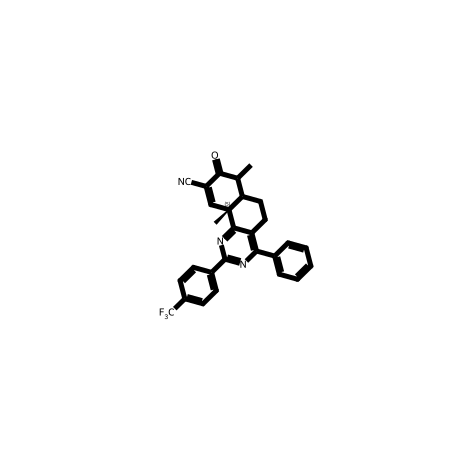 CC1C(=O)C(C#N)=C[C@@]2(C)c3nc(-c4ccc(C(F)(F)F)cc4)nc(-c4ccccc4)c3CCC12